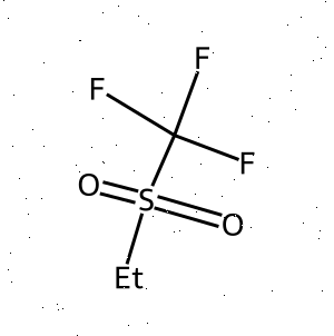 CCS(=O)(=O)C(F)(F)F